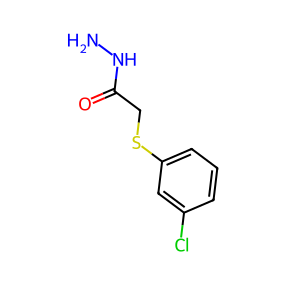 NNC(=O)CSc1cccc(Cl)c1